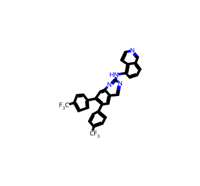 FC(F)(F)c1ccc(-c2cc3cnc(Nc4cccc5cnccc45)nc3cc2-c2ccc(C(F)(F)F)cc2)cc1